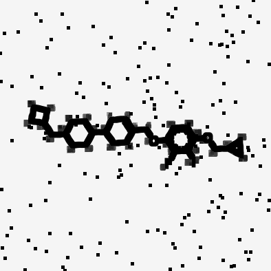 Fc1c(OCC2=CCC(C3CCC(CC4CCC4)CC3)CC2)ccc(OCC2CC2)c1F